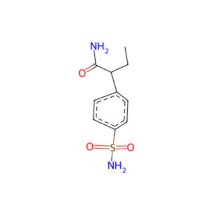 CCC(C(N)=O)c1ccc(S(N)(=O)=O)cc1